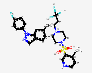 Cc1cc2c(cnn2-c2ccc(F)cc2)cc1[C@H]1CN(S(=O)(=O)c2cnccc2C)CCN1CCC(F)(F)F